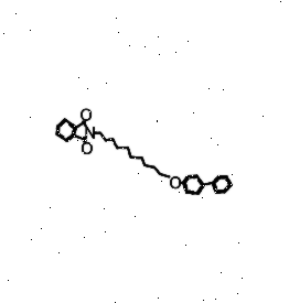 O=C1c2ccccc2C(=O)N1CCCCCCCCCCCOc1ccc(-c2ccccc2)cc1